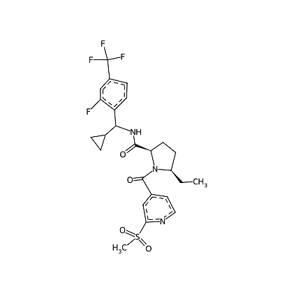 CC[C@@H]1CC[C@H](C(=O)NC(c2ccc(C(F)(F)F)cc2F)C2CC2)N1C(=O)c1ccnc(S(C)(=O)=O)c1